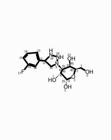 OC[C@H]1O[C@H](O)[C@H](O)[C@@H](N2CC(c3cccc(F)c3)NN2)[C@H]1O